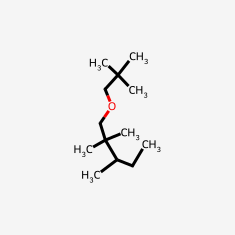 CCC(C)C(C)(C)COCC(C)(C)C